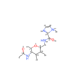 CC(=O)NC1C(C)OC(CNC(=O)c2nccn2C)C(C)C1C